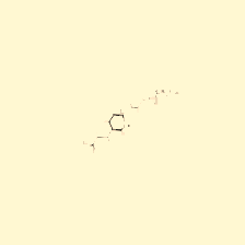 CCC(=O)CCc1ccc(OCCNSC)nc1